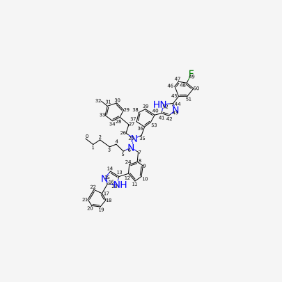 CCCCCCN(Cc1cccc(-c2cnc(-c3ccccc3)[nH]2)c1)N(CCc1ccc(C)cc1)Cc1cccc(-c2cnc(-c3ccc(F)cc3)[nH]2)c1